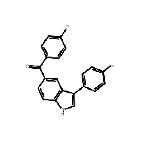 O=C(c1ccc(Cl)cc1)c1ccc2[nH]cc(-c3ccc(Cl)cc3)c2c1